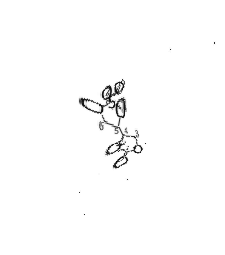 O=C1OCC(C2COS(=O)(=O)O2)O1